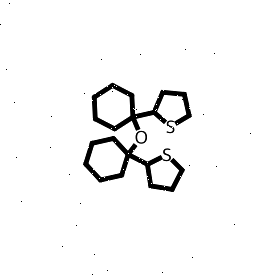 C1CCC(OC2(C3CCCS3)CCCCC2)(C2CCCS2)CC1